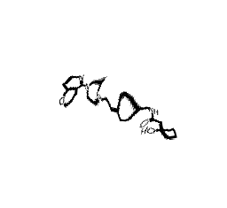 O=C(CC1(O)CCC1)NC1CCC(CCN2CCN(c3nccc4c3CCO4)CC2)CC1